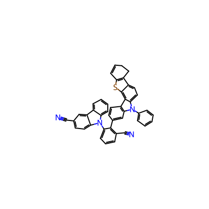 N#Cc1ccc2c(c1)c1ccccc1n2-c1cccc(C#N)c1-c1ccc2c3c4sc5c(c4ccc3n(-c3ccccc3)c2c1)CCC=C5